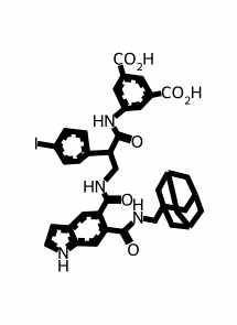 O=C(O)c1cc(NC(=O)C(CNC(=O)c2cc3cc[nH]c3cc2C(=O)NCC23CC4CC(CC(C4)C2)C3)c2ccc(I)cc2)cc(C(=O)O)c1